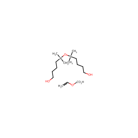 C=COC(=O)O.C[Si](C)(CCCCO)O[Si](C)(C)CCCCO